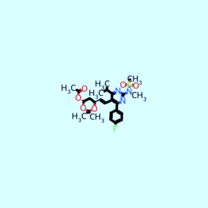 CC(=O)O[C@@H]1C[C@@H](/C=C/c2c(-c3ccc(F)cc3)nc(N(C)S(C)(=O)=O)nc2C(C)C)OC(C)(C)O1